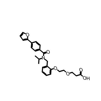 CC(C)N(Cc1ccccc1OCCOCCC(=O)O)C(=O)c1ccc(-c2ccco2)cc1